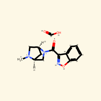 CN1C[C@@H]2C[C@H]1CN2C(=O)c1noc2ccccc12.O=CO